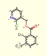 CCc1c(C(=O)OCc2cccnc2Cl)cccc1[N+](=O)[O-]